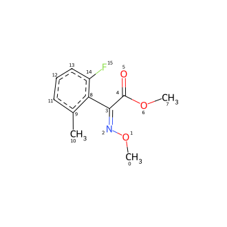 CON=C(C(=O)OC)c1c(C)cccc1F